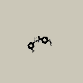 C/C(=N\Nc1cccc(Br)c1)c1ccc(N=O)cc1